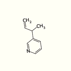 C=CC(C)c1cccnc1